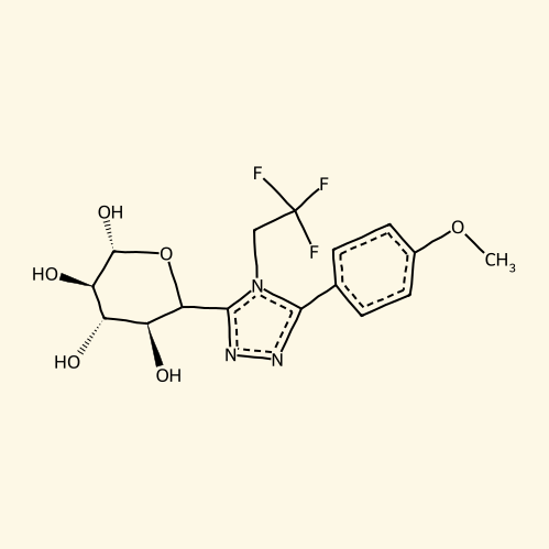 COc1ccc(-c2nnc(C3O[C@@H](O)[C@H](O)[C@@H](O)[C@@H]3O)n2CC(F)(F)F)cc1